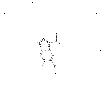 Cc1cc2occ(C(C)Cl)c2cc1F